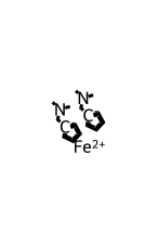 CN(C)C[c-]1cccc1.CN(C)C[c-]1cccc1.[Fe+2]